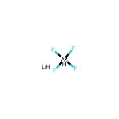 F[AsH](F)(F)F.[LiH]